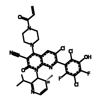 C=CC(=O)N1CCN(c2c(C#N)c(=O)n(C3C(C(C)C)=NC=C[C@H]3C)c3nc(-c4c(F)c(Cl)c(F)c(O)c4Cl)c(Cl)cc23)CC1